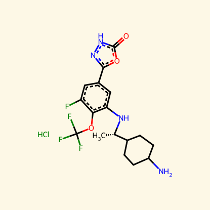 C[C@H](Nc1cc(-c2n[nH]c(=O)o2)cc(F)c1OC(F)(F)F)C1CCC(N)CC1.Cl